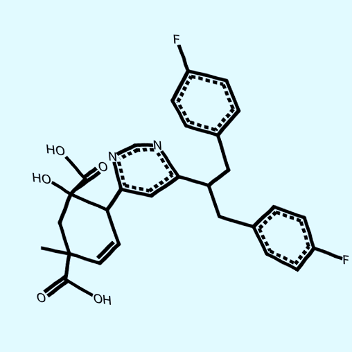 CC1(C(=O)O)C=CC(c2cc(C(Cc3ccc(F)cc3)Cc3ccc(F)cc3)ncn2)C(O)(C(=O)O)C1